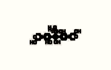 CCN(CC(=O)O)c1ccc(C2=C(O)C(c3ccc(N(CC)CC(=O)O)cc3O)C2O)c(O)c1.O.O